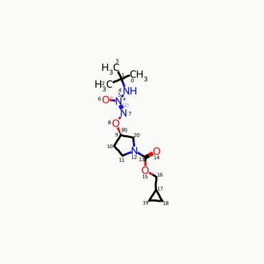 CC(C)(C)N/[N+]([O-])=N/O[C@@H]1CCN(C(=O)OCC2CC2)C1